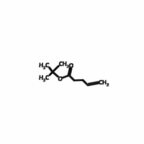 C=CCCC(=O)OC(C)(C)C